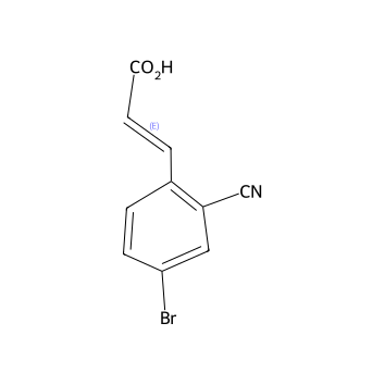 N#Cc1cc(Br)ccc1/C=C/C(=O)O